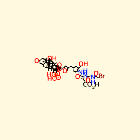 C[C@]12C=CC(=O)C=C1CC[C@@H]1[C@@H]2[C@@H](O)C[C@@]2(C)[C@H]1C[C@H]1O[C@@H](c3cc(Cc4ccc(NC(=O)[C@H](CCC(=O)O)NC(=O)CNC(=O)CBr)c(CO)c4)co3)O[C@]12C(=O)COP(=O)(O)O